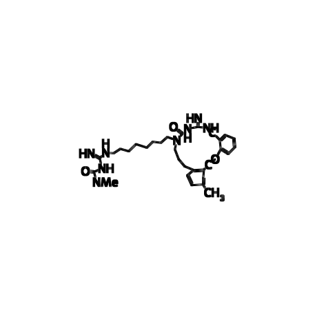 CNC(=O)NC(=N)NCCCCCCCCN1CCCc2ccc(C)cc2COc2ccccc2CNC(=N)NC1=O